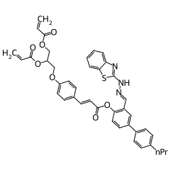 C=CC(=O)OCC(COc1ccc(/C=C/C(=O)Oc2ccc(-c3ccc(CCC)cc3)cc2/C=N/Nc2nc3ccccc3s2)cc1)OC(=O)C=C